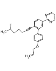 C=CCOc1ccc(-c2cc(-c3ncccn3)ccc2C#CCCCC(C)F)cc1